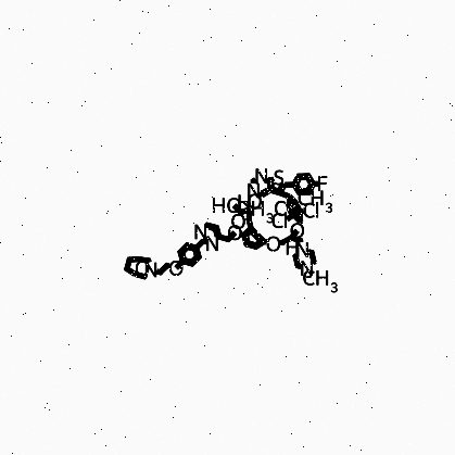 Cc1c(Cl)c2c(Cl)c(C)c1-c1c(-c3ccc(F)cc3)sc3ncnc(c13)O[C@@H](C(=O)O)Cc1cc(ccc1OCc1ccnc(-c3ccc(OCCN4CC5CCC(C4)O5)cc3)n1)OC[C@@H](CN1CCN(C)CC1)O2